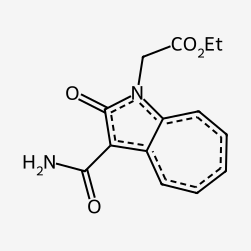 CCOC(=O)Cn1c2cccccc-2c(C(N)=O)c1=O